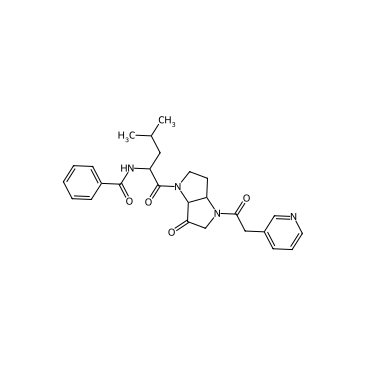 CC(C)CC(NC(=O)c1ccccc1)C(=O)N1CCC2C1C(=O)CN2C(=O)Cc1cccnc1